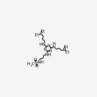 CCN(CC)CCCNc1nc(NCCCNS(C)(=O)=O)nc(NCCCN(CC)CC)n1